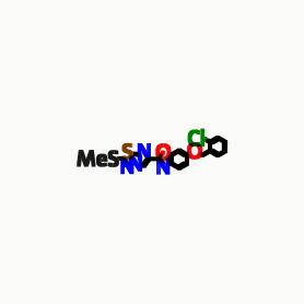 CSc1nn2cc(-c3nc4ccc(OCc5ccccc5Cl)cc4o3)nc2s1